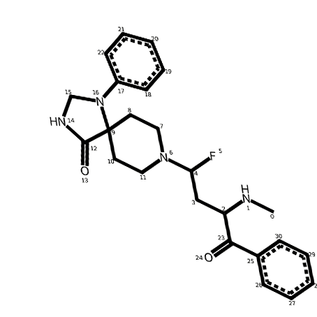 CNC(CC(F)N1CCC2(CC1)C(=O)NCN2c1ccccc1)C(=O)c1ccccc1